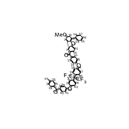 COc1ccc(Oc2ccc(C(=O)c3ccc(Oc4ccc(C(c5ccc(Oc6ccc(C(=O)c7ccc(C)cc7)cc6)cc5)(C(F)(F)F)C(F)(F)F)cc4)cc3)cc2)c(-c2ccccc2)c1